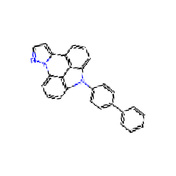 c1ccc(-c2ccc(-n3c4cccc5c4c4c3cccc4n3nccc53)cc2)cc1